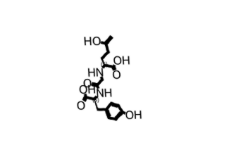 C=C(O)CC[C@H](NCC(=O)N[C@@H](Cc1ccc(O)cc1)C(=O)O)C(=O)O